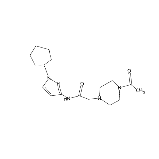 CC(=O)N1CCN(CC(=O)Nc2ccn(C3CCCCC3)n2)CC1